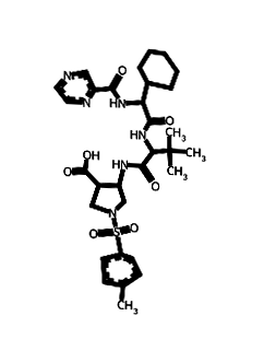 Cc1ccc(S(=O)(=O)N2CC(NC(=O)C(NC(=O)C(NC(=O)c3cnccn3)C3CCCCC3)C(C)(C)C)C(C(=O)O)C2)cc1